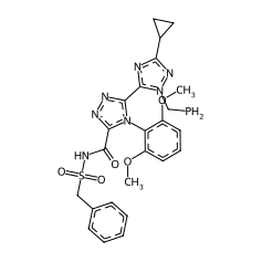 COc1cccc(OC)c1-n1c(C(=O)NS(=O)(=O)Cc2ccccc2)nnc1-c1nc(C2CC2)nn1CP